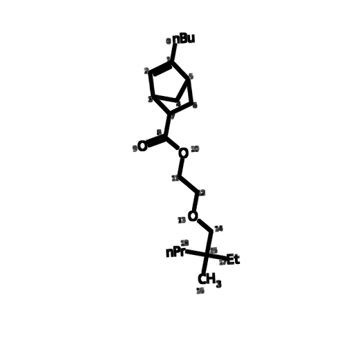 CCCCC1=CC2CC1CC2C(=O)OCCOCC(C)(CC)CCC